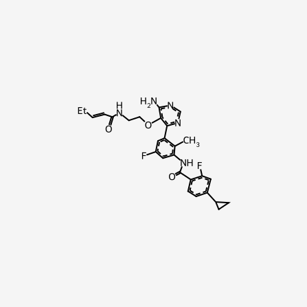 CCC=CC(=O)NCCOc1c(N)ncnc1-c1cc(F)cc(NC(=O)c2ccc(C3CC3)cc2F)c1C